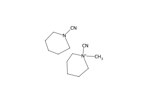 C[N+]1(C#N)CCCCC1.N#CN1CCCCC1